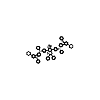 c1ccc(-c2nc3c(-c4ccc(N(c5ccccc5)c5ccc6c(c5)c5cc(C7CCCCC7)ccc5n6-c5ccccc5)cc4)c4nsnc4c(-c4ccc(N(c5ccccc5)c5ccc6c(c5)c5cc(C7CCCCC7)ccc5n6-c5ccccc5)cc4)c3nc2-c2ccccc2)cc1